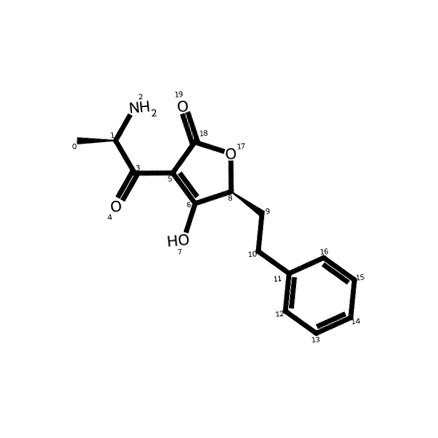 C[C@@H](N)C(=O)C1=C(O)[C@H](CCc2ccccc2)OC1=O